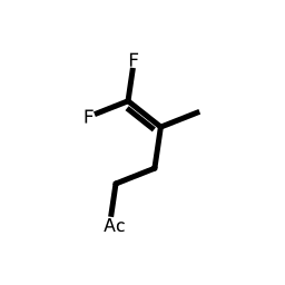 CC(=O)CCC(C)=C(F)F